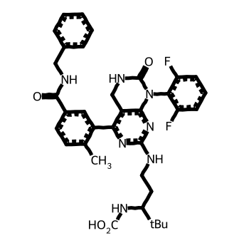 Cc1ccc(C(=O)NCc2ccccc2)cc1-c1nc(NCCC(NC(=O)O)C(C)(C)C)nc2c1CNC(=O)N2c1c(F)cccc1F